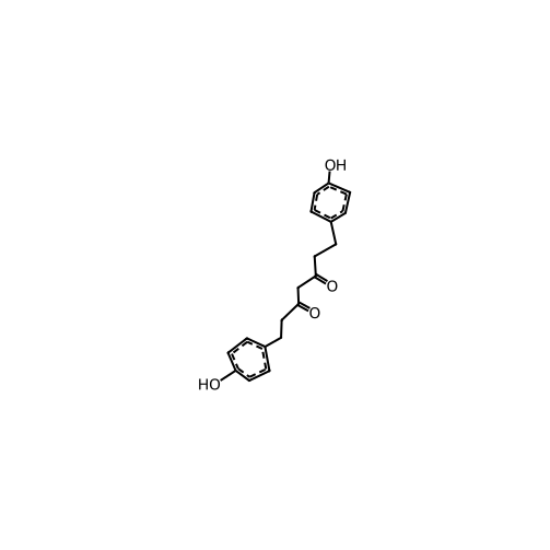 O=C(CCc1ccc(O)cc1)CC(=O)CCc1ccc(O)cc1